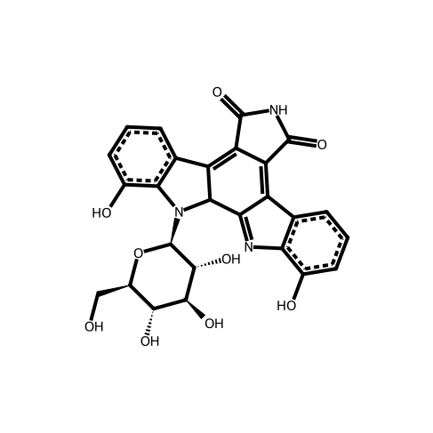 O=C1NC(=O)C2=C3c4cccc(O)c4N([C@@H]4O[C@H](CO)[C@@H](O)[C@H](O)[C@H]4O)C3C3=Nc4c(O)cccc4C3=C12